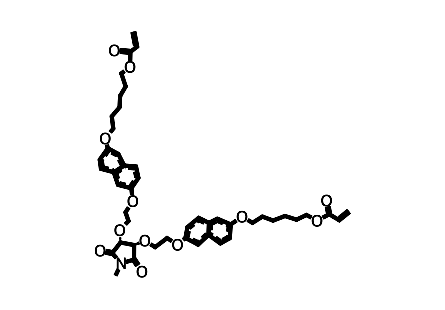 C=CC(=O)OCCCCCCOc1ccc2cc(OCCO[C@H]3C(=O)N(C)C(=O)[C@@H]3OCCOc3ccc4cc(OCCCCCCOC(=O)C=C)ccc4c3)ccc2c1